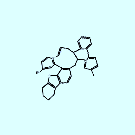 Cc1ccc2[n+](c1)C1Cc3ccc4c5c(sc4c3-c3cc(C(C)C)cc[n+]3/C=C/CC1c1ccccc1-2)CCCC5